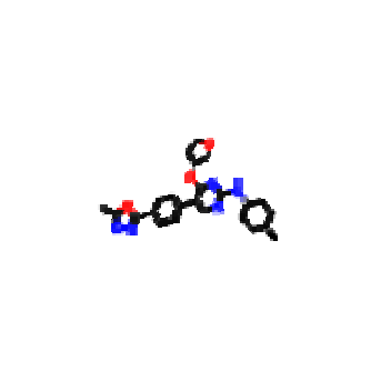 Cc1nnc(-c2ccc(-c3cnc(N[C@H]4CC[C@H](C)CC4)nc3O[C@@H]3CCOC3)cc2)o1